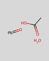 CC(=O)O.O.[O]=[Pb]